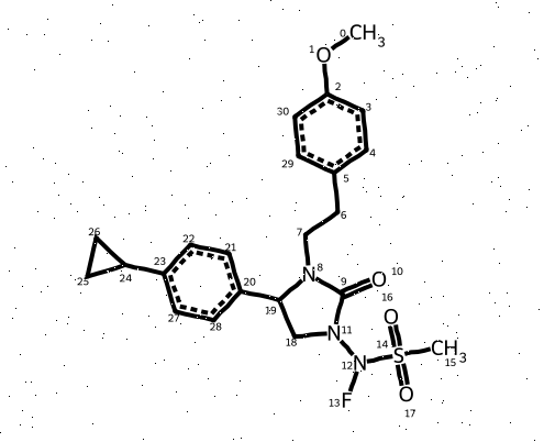 COc1ccc(CCN2C(=O)N(N(F)S(C)(=O)=O)CC2c2ccc(C3CC3)cc2)cc1